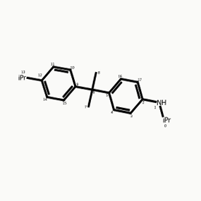 CC(C)Nc1ccc(C(C)(C)c2ccc(C(C)C)cc2)cc1